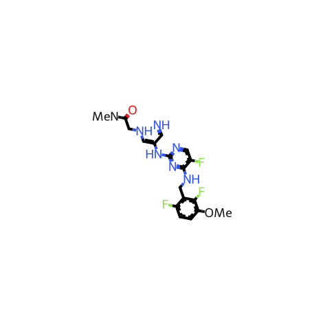 CNC(=O)CN/C=C(\C=N)Nc1ncc(F)c(NCc2c(F)ccc(OC)c2F)n1